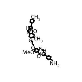 COc1cc2c(cc1OCCCOc1cc3c(cc1C)C(=O)N1C=C(c4ccc(C)cc4)C[C@H]1C=N3)N=C[C@@H]1CC(c3ccc(CN)cc3)=CN1C2=O